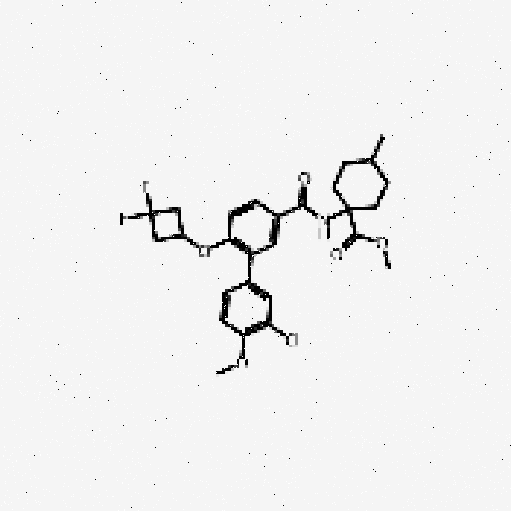 COC(=O)C1(NC(=O)c2ccc(OC3CC(F)(F)C3)c(-c3ccc(OC)c(Cl)c3)c2)CCC(C)CC1